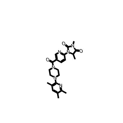 Cc1cc(C)c(N2CCN(C(=O)c3ccc(N4C(=O)N(C)C(=O)C4C)nc3)CC2)nc1C